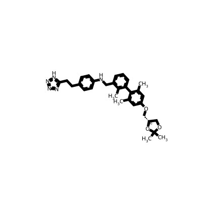 Cc1cc(OC[C@@H]2COC(C)(C)O2)cc(C)c1-c1cccc(CNc2ccc(CCc3nnn[nH]3)cc2)c1C